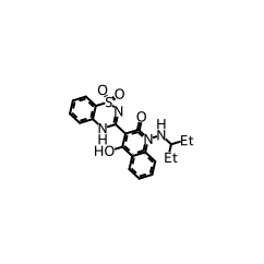 CCC(CC)Nn1c(=O)c(C2=NS(=O)(=O)c3ccccc3N2)c(O)c2ccccc21